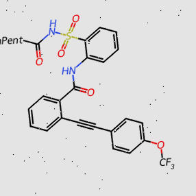 CCCCCC(=O)NS(=O)(=O)c1ccccc1NC(=O)c1ccccc1C#Cc1ccc(OC(F)(F)F)cc1